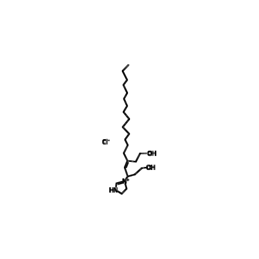 CCCCCCCCCCCCCCC(=CC(CCO)[N+]1=CNCC1)CCO.[Cl-]